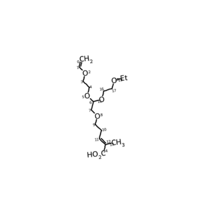 C=COCCOC(COCCC=C(C)C(=O)O)OCCOCC